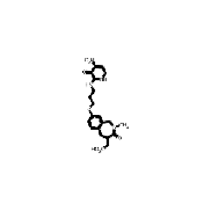 CN1Cc2cc(OCCCNC3NCC=C([N+](=O)[O-])C3=O)ccc2CC(CC(=O)O)C1=O